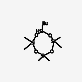 CCC(C)[SiH]1O[Si](C)(C)O[Si](C)(C)O[Si](C)(C)O1